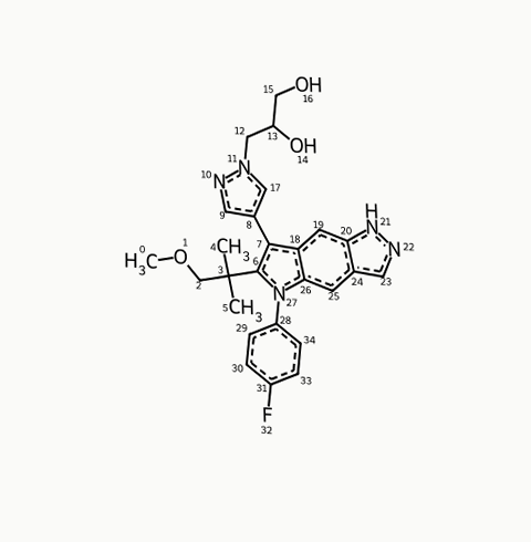 COCC(C)(C)c1c(-c2cnn(CC(O)CO)c2)c2cc3[nH]ncc3cc2n1-c1ccc(F)cc1